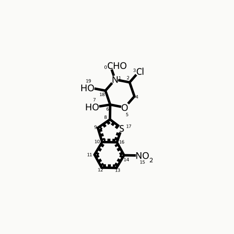 O=CN1C(Cl)COC(O)(c2cc3cccc([N+](=O)[O-])c3s2)C1O